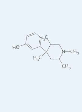 CC1CC(C)(c2cccc(O)c2)C(C)CN1C